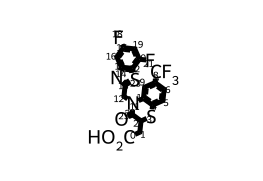 O=C(O)CC1Sc2ccc(C(F)(F)F)cc2N(Cc2nc3cc(F)cc(F)c3s2)C1=O